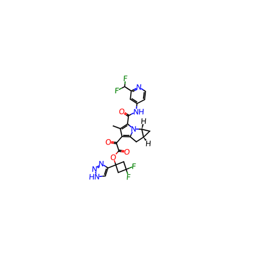 Cc1c(C(=O)C(=O)OC2(c3c[nH]nn3)CC(F)(F)C2)c2n(c1C(=O)Nc1ccnc(C(F)F)c1)[C@@H]1C[C@@H]1C2